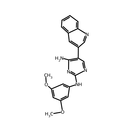 COc1cc(Nc2ncc(-c3cnc4ccccc4c3)c(N)n2)cc(OC)c1